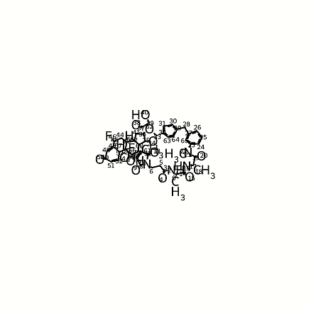 C[C@H](NC(=O)CCN1C(=O)C=CC1=O)C(=O)N[C@@H](C)C(=O)N(C)c1cccc(Cc2ccc([C@H]3OC4[C@@](C(=O)CO)(C[C@H]5[C@@H]6C[C@H](F)C7=CC(=O)C=C[C@]7(C)[C@@]6(F)[C@@H](O)C[C@]45C)O3)cc2)c1